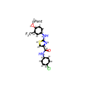 CCCCCOc1ccc(Nc2nc(C(=O)Nc3ccc(Cl)cc3)cs2)cc1C(F)(F)F